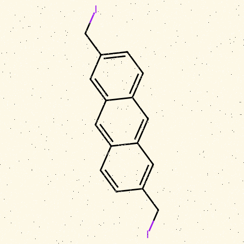 ICc1ccc2cc3cc(CI)ccc3cc2c1